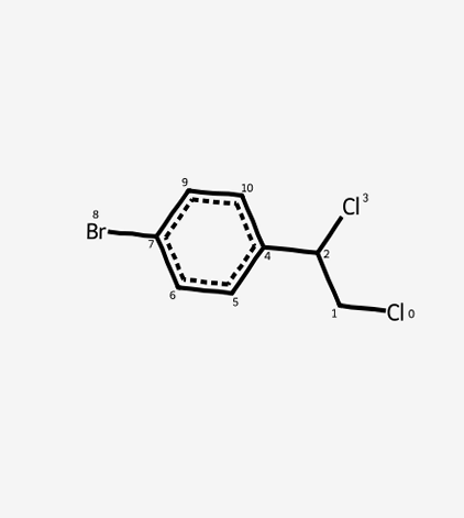 ClCC(Cl)c1ccc(Br)cc1